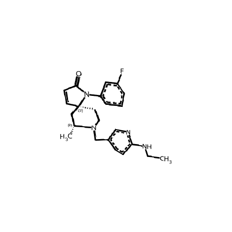 CCNc1ccc(CN2CC[C@@]3(C=CC(=O)N3c3cccc(F)c3)C[C@H]2C)cn1